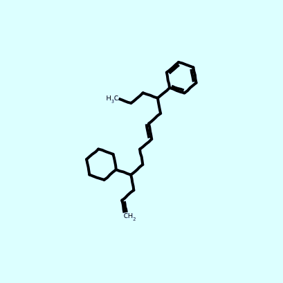 C=CCC(CCC=CCC(CCC)c1ccccc1)C1CCCCC1